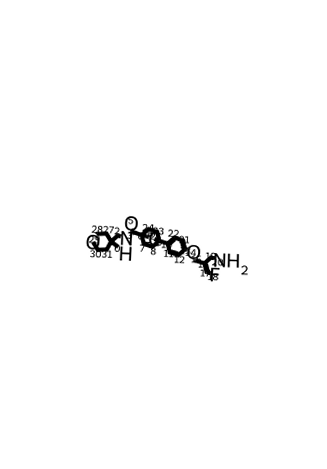 CC1(CNC(=O)C23CCC(c4ccc(OC/C(=C/F)CN)cc4)(CC2)CC3)CCOCC1